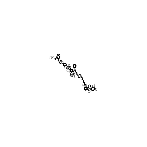 C=C(CCC)C1=C(CN2CCN(c3ccc(C(=O)NS(=O)(=O)c4ccc(N[C@H](CCN5CCN(CCCCCCNc6cccc7c6C(=O)N(C6CCC(=O)NC6=O)C7=O)CC5)CSc5ccccc5)c(S(=O)(=O)C(F)(F)F)c4)cc3)CC2)CCC(C)(C)C1